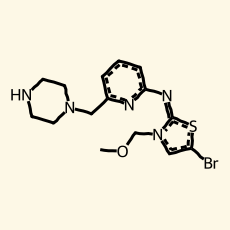 COCn1cc(Br)sc1=Nc1cccc(CN2CCNCC2)n1